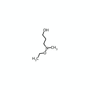 CCON(C)CCCO